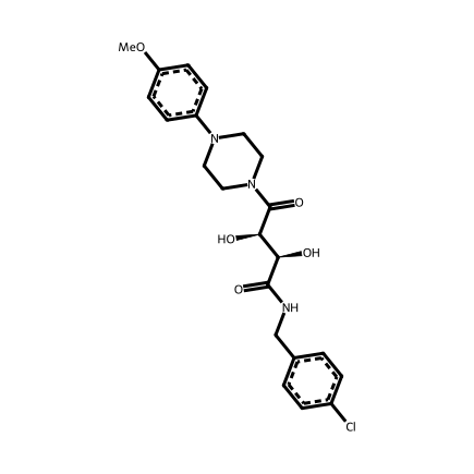 COc1ccc(N2CCN(C(=O)[C@H](O)[C@@H](O)C(=O)NCc3ccc(Cl)cc3)CC2)cc1